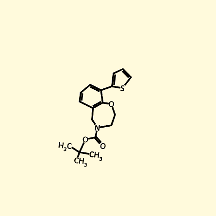 CC(C)(C)OC(=O)N1CCOc2c(cccc2-c2cccs2)C1